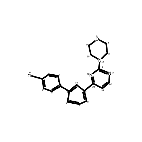 Clc1ccc(-c2cccc(-c3ccnc(N4CCOCC4)n3)c2)cc1